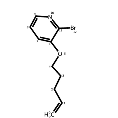 C=CCCCOc1cccnc1Br